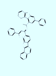 CC(/N=C(\C=C(/N)c1ccccc1)c1ccc2c(c1)oc1c3ccccc3ccc21)c1cc(-c2ccccc2)cc2oc3c(c12)CCC=C3